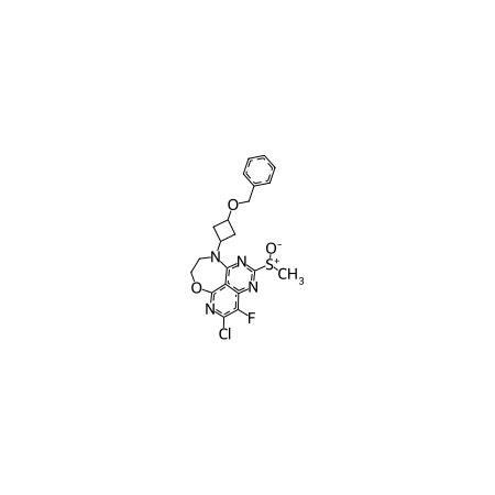 C[S+]([O-])c1nc2c3c(nc(Cl)c(F)c3n1)OCCN2C1CC(OCc2ccccc2)C1